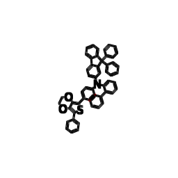 c1ccc(-c2ccccc2N(c2ccc(-c3sc(-c4ccccc4)c4c3OCCO4)cc2)c2ccc3c(c2)C(c2ccccc2)(c2ccccc2)c2ccccc2-3)cc1